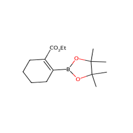 CCOC(=O)C1=C(B2OC(C)(C)C(C)(C)O2)CCCC1